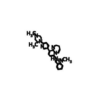 CNc1ccccc1CNC1=CC=C(c2ccc(N3CCN(C)C[C@H]3C)nc2)C2=NCCC=CN12